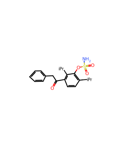 CC(C)c1ccc(C(=O)Cc2ccccc2)c(C(C)C)c1OS(N)(=O)=O